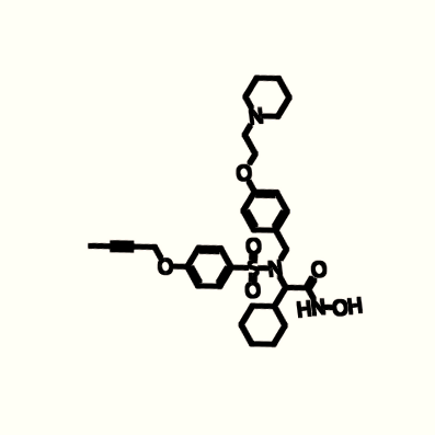 CC#CCOc1ccc(S(=O)(=O)N(Cc2ccc(OCCN3CCCCC3)cc2)C(C(=O)NO)C2CCCCC2)cc1